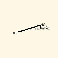 CCCCCCC(O)C(CCCCCCCCCCC/C=C/[C]=O)[N+](=O)[O-]